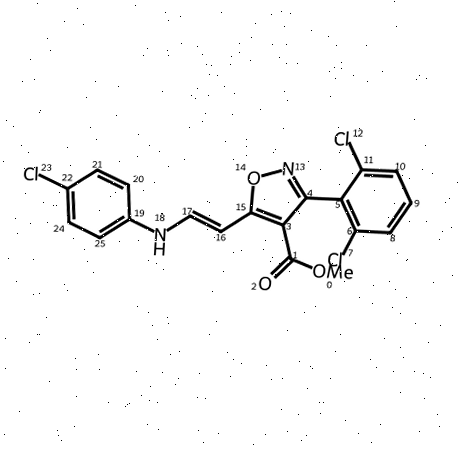 COC(=O)c1c(-c2c(Cl)cccc2Cl)noc1C=CNc1ccc(Cl)cc1